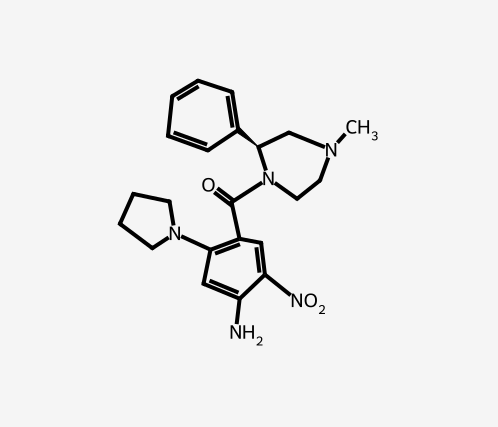 CN1CCN(C(=O)c2cc([N+](=O)[O-])c(N)cc2N2CCCC2)[C@@H](c2ccccc2)C1